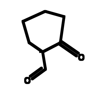 O=C[C]1CCCCC1=O